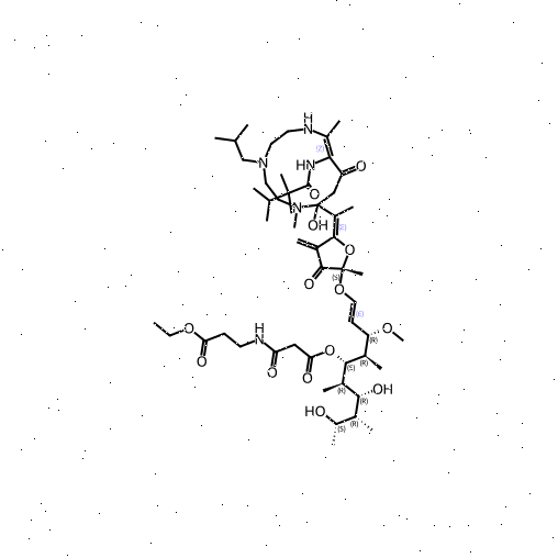 C=C1C(=O)[C@@](C)(O/C=C/[C@H](OC)[C@@H](C)[C@@H](OC(=O)CC(=O)NCCC(=O)OCC)[C@H](C)[C@H](O)[C@H](C)[C@H](C)O)O/C1=C(\C)C1(O)CC(=O)/C(NC(=O)C(C)(C)C(C)C)=C(\C)NCCN(CC(C)C)CCN1C